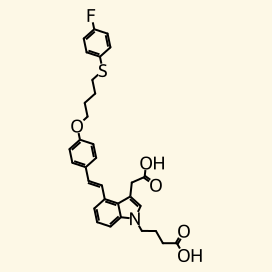 O=C(O)CCCn1cc(CC(=O)O)c2c(C=Cc3ccc(OCCCCSc4ccc(F)cc4)cc3)cccc21